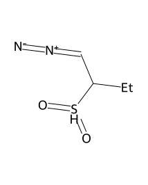 CCC(C=[N+]=[N-])[SH](=O)=O